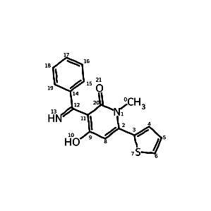 Cn1c(-c2cccs2)cc(O)c(C(=N)c2ccccc2)c1=O